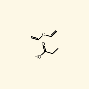 C=COC=C.CCC(=O)O